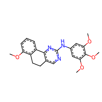 COc1cccc2c1CCc1cnc(Nc3cc(OC)c(OC)c(OC)c3)nc1-2